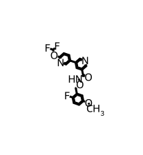 COc1ccc(F)c(CONC(=O)c2cncc(-c3ccc(OC(F)F)nc3)c2)c1